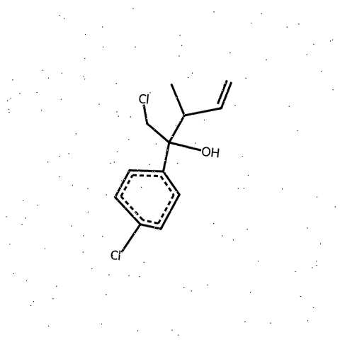 C=CC(C)C(O)(CCl)c1ccc(Cl)cc1